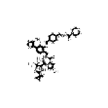 Cc1ncsc1-c1ccc(CNC(=O)[C@@H]2C[C@@H](O)CN2C(=O)[C@@H](NC(=O)C2(F)CC2)C(C)(C)C)c(OCC2CCC(COOC(=O)N3CCOCC3)CC2)c1